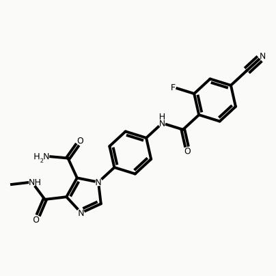 CNC(=O)c1ncn(-c2ccc(NC(=O)c3ccc(C#N)cc3F)cc2)c1C(N)=O